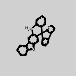 c1ccc2c(c1)[SiH2]c1cc3c(cc1C21c2ccccc2-c2ccccc21)oc1ccccc13